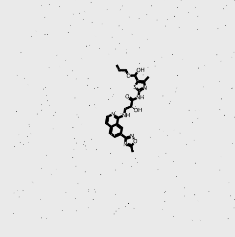 CCCOC(O)c1sc(NC(=O)[C@H](O)CNc2nccc3ccc(-c4noc(C)n4)cc23)nc1C